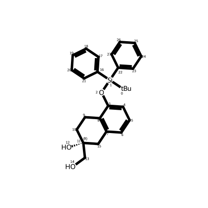 CC(C)(C)[Si](Oc1cccc2c1CC[C@](O)(CO)C2)(c1ccccc1)c1ccccc1